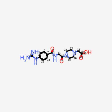 N=C(N)Nc1ccc(C(=O)NCC(=O)N2CCN(CC(=O)O)CC2)cc1